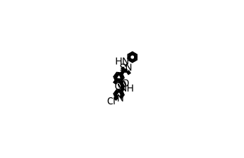 Cc1ccc(-c2sc(NC3CCCCC3)nc2C)cc1S(=O)(=O)Nc1ccc(Cl)nc1